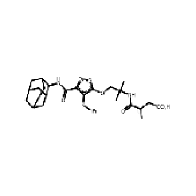 CC(C)Sc1c(OCC(C)(C)NC(=O)[C@H](C)CC(=O)O)noc1C(=O)NC1C2CC3CC(C2)CC1C3